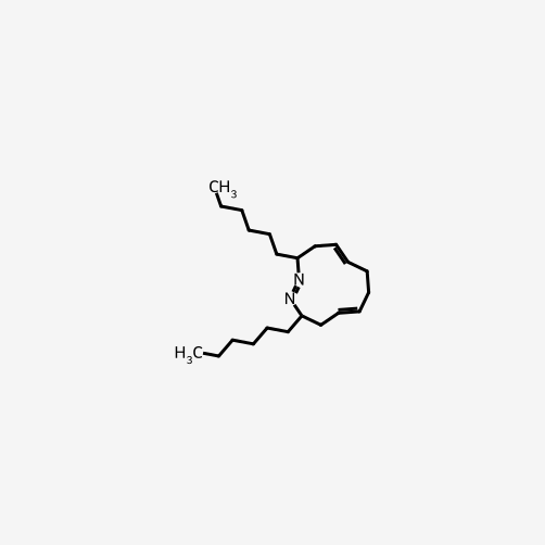 CCCCCCC1C/C=C/CC/C=C/CC(CCCCCC)/N=N/1